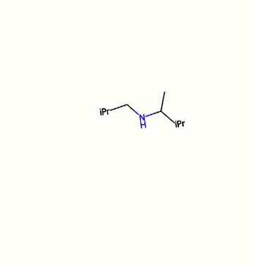 CC(C)CNC(C)C(C)C